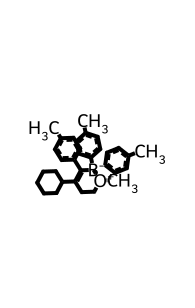 Cc1ccc(C2=C(C3CCCCC3)CC[O+](C)[B-]2(c2ccc(C)cc2)c2ccc(C)cc2)cc1